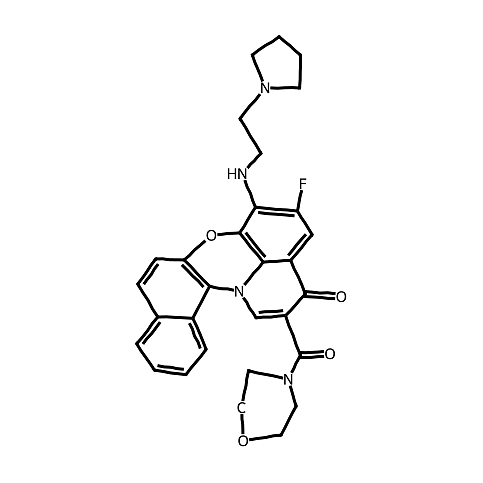 O=C(c1cn2c3c(c(NCCN4CCCC4)c(F)cc3c1=O)Oc1ccc3ccccc3c1-2)N1CCOCC1